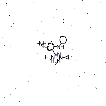 CNSc1ccc(NC2CCCCC2)c(/C(N)=N/N(N)C2CC2)c1